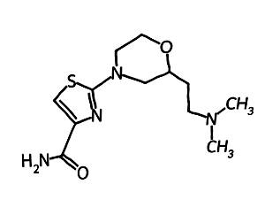 CN(C)CCC1CN(c2nc(C(N)=O)cs2)CCO1